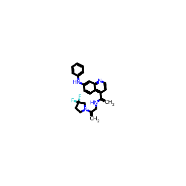 C=C(NCC(=C)N1CCC(F)(F)C1)c1ccnc2cc(Nc3ccccc3)ccc12